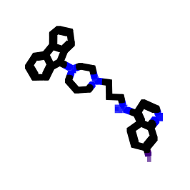 Ic1ccc2c(NCCCN3CCCN(C4c5ccccc5-c5ccccc54)CC3)ccnc2c1